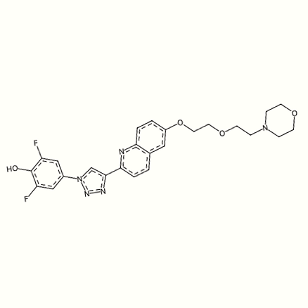 Oc1c(F)cc(-n2cc(-c3ccc4cc(OCCOCCN5CCOCC5)ccc4n3)nn2)cc1F